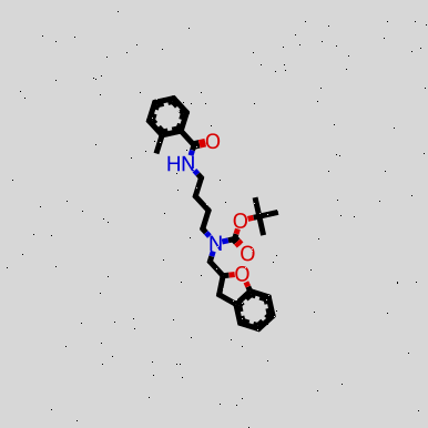 Cc1ccccc1C(=O)NCCCCN(CC1Cc2ccccc2O1)C(=O)OC(C)(C)C